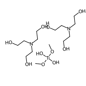 C[O][Ti]([OH])([OH])[O]C.OCCN(CCO)CCO.OCCN(CCO)CCO